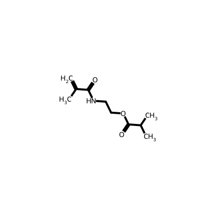 C=C(C)C(=O)NCCOC(=O)C(C)C